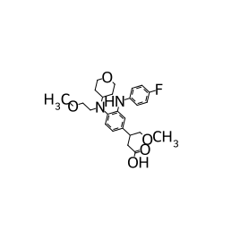 COCCN(c1ccc(C(COC)CC(=O)O)cc1Nc1ccc(F)cc1)C1CCOCC1